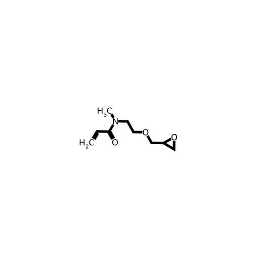 C=CC(=O)N(C)CCOCC1CO1